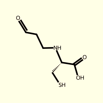 O=CCCN[C@@H](CS)C(=O)O